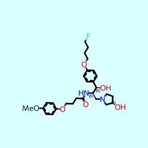 COc1ccc(OCCCC(=O)N[C@H](CN2CC[C@@H](O)C2)[C@H](O)c2ccc(OCCCCF)cc2)cc1